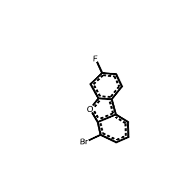 Fc1ccc2c(c1)oc1c(Br)cccc12